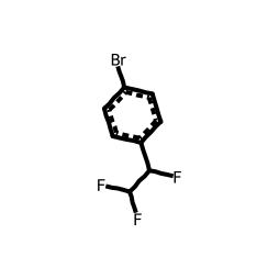 FC(F)C(F)c1ccc(Br)cc1